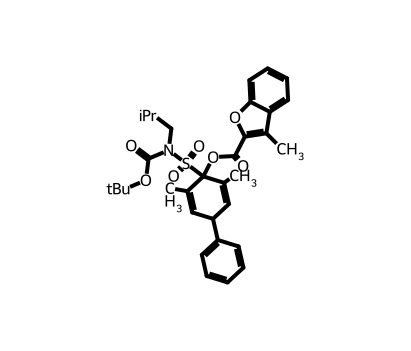 CC1=CC(c2ccccc2)C=C(C)C1(OC(=O)c1oc2ccccc2c1C)S(=O)(=O)N(CC(C)C)C(=O)OC(C)(C)C